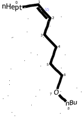 CCCCCCC/C=C\CCCCOCCCC